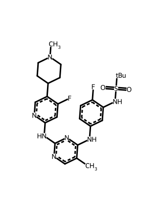 Cc1cnc(Nc2cc(F)c(C3CCN(C)CC3)cn2)nc1Nc1ccc(F)c(NS(=O)(=O)C(C)(C)C)c1